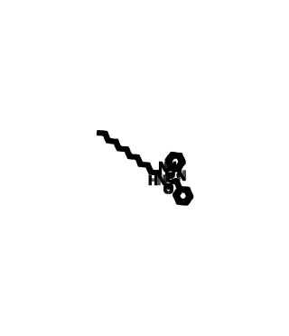 CCCCCCCCCCCC(N)NS(=O)(=O)C(=Nc1ccccc1)c1ccccc1